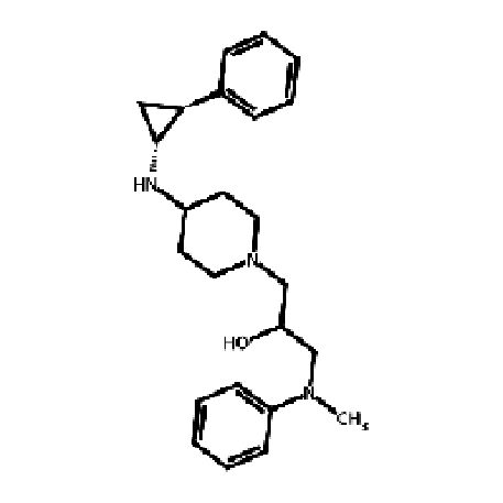 CN(CC(O)CN1CCC(N[C@@H]2C[C@H]2c2ccccc2)CC1)c1ccccc1